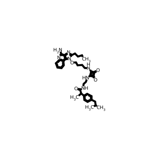 CCCCc1nc2c(N)nc3ccccc3c2n1OCCCCNc1c(NCCNC(=O)C(C)c2ccc(CC(C)C)cc2)c(=O)c1=O